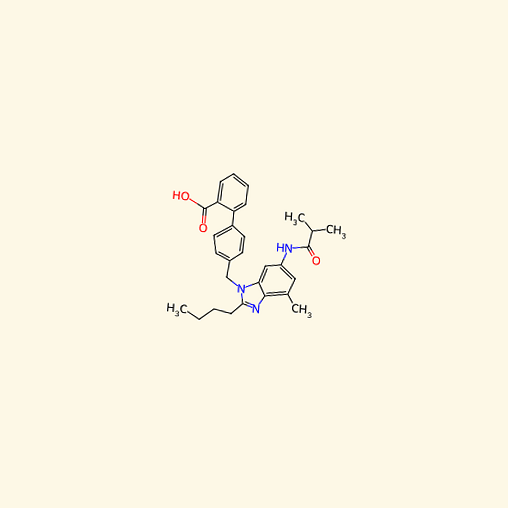 CCCCc1nc2c(C)cc(NC(=O)C(C)C)cc2n1Cc1ccc(-c2ccccc2C(=O)O)cc1